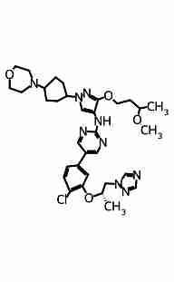 COC(C)CCOc1nn(C2CCC(N3CCOCC3)CC2)cc1Nc1ncc(-c2ccc(Cl)c(O[C@@H](C)Cn3cncn3)c2)cn1